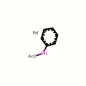 CC(=O)OPc1ccccc1.[Pd]